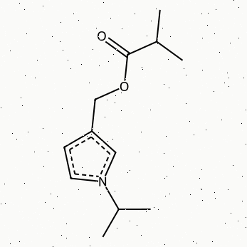 CC(C)C(=O)OCc1ccn(C(C)C)c1